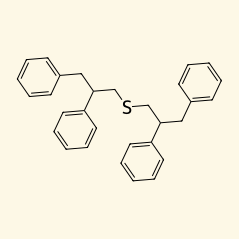 c1ccc(CC(CSCC(Cc2ccccc2)c2ccccc2)c2ccccc2)cc1